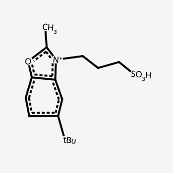 Cc1oc2ccc(C(C)(C)C)cc2[n+]1CCCS(=O)(=O)O